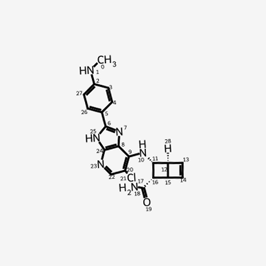 CNc1ccc(-c2nc3c(N[C@@H]4[C@H]5C=CC5[C@@H]4C(N)=O)c(Cl)cnc3[nH]2)cc1